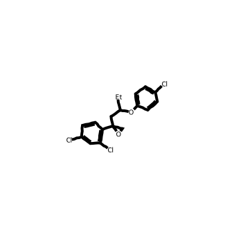 CCC(CC1(c2ccc(Cl)cc2Cl)CO1)Oc1ccc(Cl)cc1